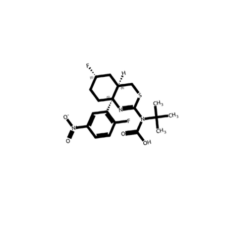 CC(C)(C)N(C(=O)O)C1=N[C@@]2(c3cc([N+](=O)[O-])ccc3F)CC[C@H](F)C[C@H]2CS1